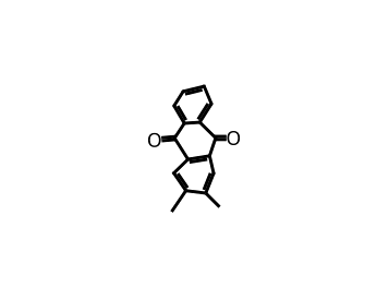 Cc1cc2c(cc1C)C(=O)c1ccccc1C2=O